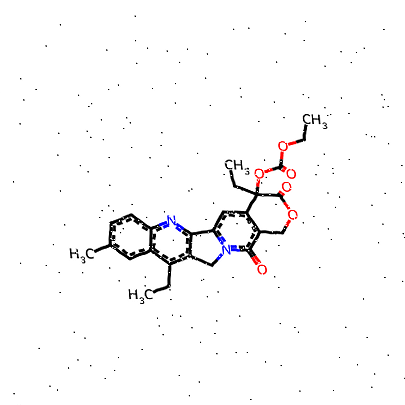 CCOC(=O)OC1(CC)C(=O)OCc2c1cc1n(c2=O)Cc2c-1nc1ccc(C)cc1c2CC